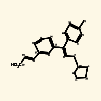 Cc1ccc(/C(=C\CN2CCCC2)c2cccc(/C=C/C(=O)O)c2)cc1